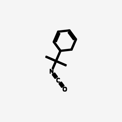 CC(C)(N=C=O)C1C=CC=CC1